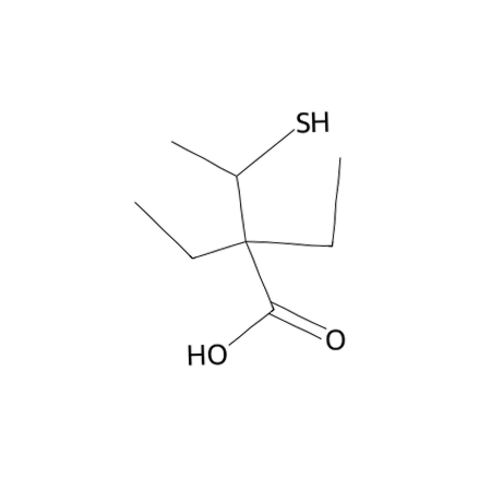 CCC(CC)(C(=O)O)C(C)S